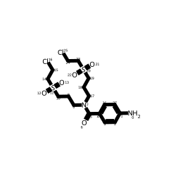 Nc1ccc(C(=O)N(CCCS(=O)(=O)CCCl)CCCS(=O)(=O)CCCl)cc1